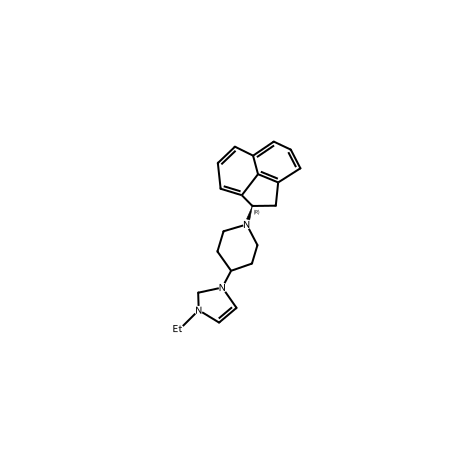 CCN1C=CN(C2CCN([C@@H]3Cc4cccc5cccc3c45)CC2)C1